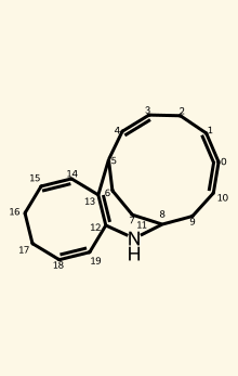 C1=CCC=CC2CCC(CC=1)NC1=C2/C=C\CCC=C1